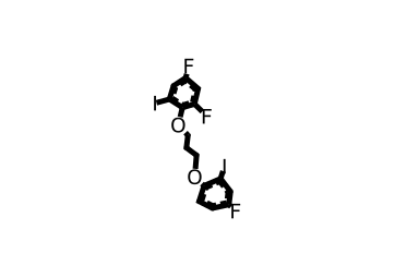 Fc1ccc(OCCCOc2c(F)cc(F)cc2I)c(I)c1